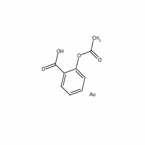 CC(=O)Oc1ccccc1C(=O)O.[Au]